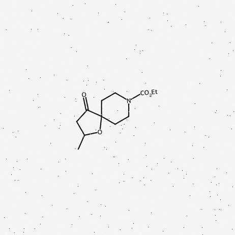 CCOC(=O)N1CCC2(CC1)OC(C)CC2=O